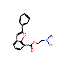 CC(C)N(CCOC(=O)c1cccc2cc(-c3ccccc3)oc12)C(C)C